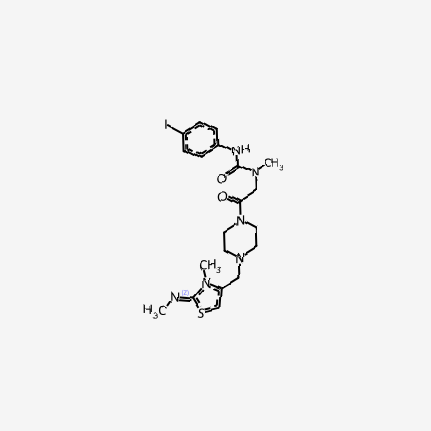 C/N=c1\scc(CN2CCN(C(=O)CN(C)C(=O)Nc3ccc(I)cc3)CC2)n1C